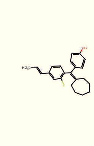 O=C(O)/C=C/c1ccc(C(=C2CCCCCC2)c2ccc(O)cc2)c(F)c1